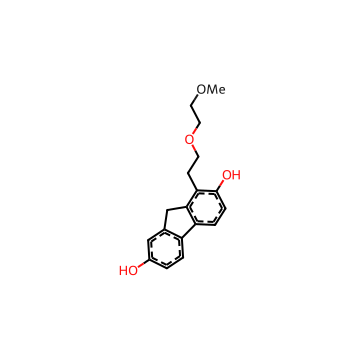 COCCOCCc1c(O)ccc2c1Cc1cc(O)ccc1-2